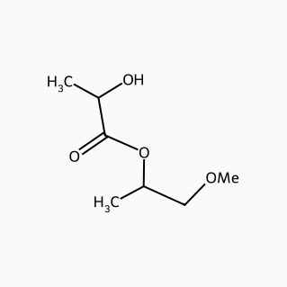 COCC(C)OC(=O)C(C)O